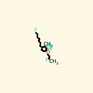 C/C(F)=C/COc1ccc(CC/C=C/CCCF)c(C)c1S(F)(F)(F)(F)F